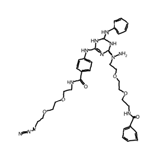 [N-]=[N+]=NCCOCCOCCNC(=O)c1ccc(NC2=NC(N(N)CCOCCOCCNC(=O)c3ccccc3)NC(Nc3ccccc3)N2)cc1